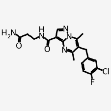 Cc1nc2c(C(=O)NCCC(N)=O)cnn2c(C)c1Cc1ccc(F)c(Cl)c1